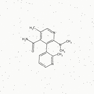 Cc1cnc(N(C)C)c(-c2cccnc2C)c1C(N)=O